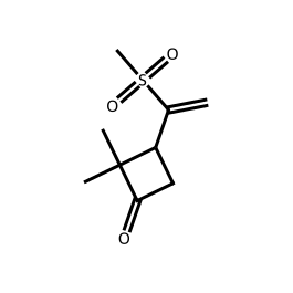 C=C(C1CC(=O)C1(C)C)S(C)(=O)=O